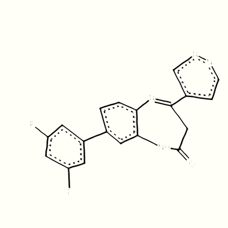 O=C1CC(c2ccnnc2)=Nc2ccc(-c3cc(F)cc(F)c3)cc2N1